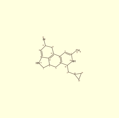 CC1=CC2=C(CC3CNC4=CC(Br)CC2=C43)C(CC2CC2)N1